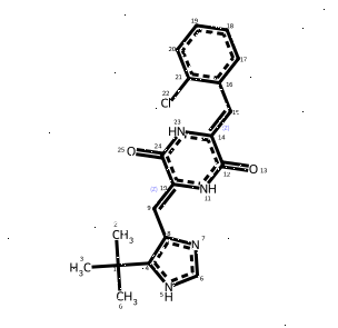 CC(C)(C)c1[nH]cnc1/C=c1\[nH]c(=O)/c(=C/c2ccccc2Cl)[nH]c1=O